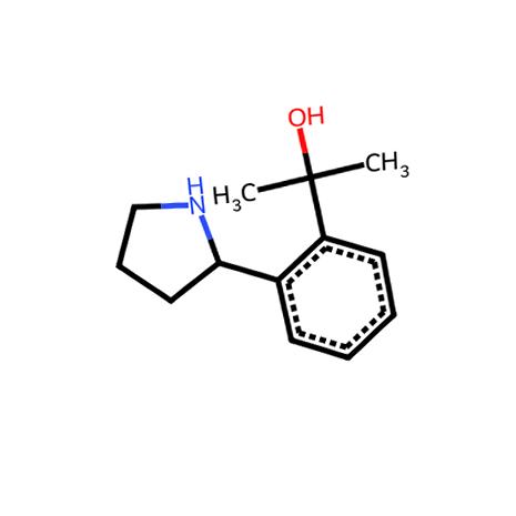 CC(C)(O)c1ccccc1C1CCCN1